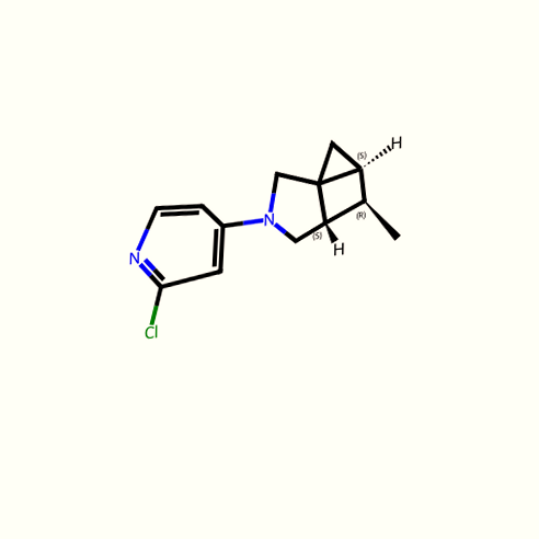 C[C@H]1[C@@H]2CN(c3ccnc(Cl)c3)CC23C[C@@H]13